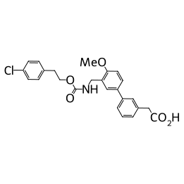 COc1ccc(-c2cccc(CC(=O)O)c2)cc1CNC(=O)OCCc1ccc(Cl)cc1